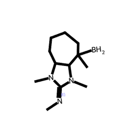 BC1(C)CCCCC2C1N(C)/C(=N/C)N2C